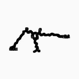 CCCCCCCCC=CCCCCCCCC(=O)OCC(COC(=O)CCCCCCCC=CCCCCCCCC)OC(=O)CCCCN(C)C